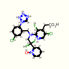 O=C(O)Cc1c(Cl)cnc(N(Cc2cc(Cl)ccc2-n2cnnn2)CC(F)(F)c2cccc[n+]2[O-])c1F